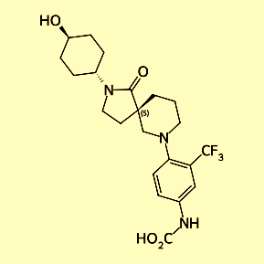 O=C(O)Nc1ccc(N2CCC[C@]3(CCN([C@H]4CC[C@H](O)CC4)C3=O)C2)c(C(F)(F)F)c1